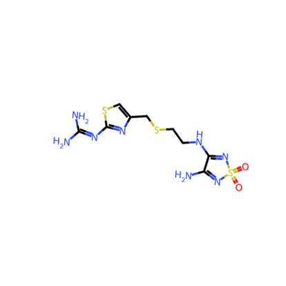 NC(N)=Nc1nc(CSCCNC2=NS(=O)(=O)N=C2N)cs1